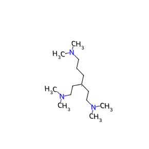 CN(C)CCC[C](CCN(C)C)CCN(C)C